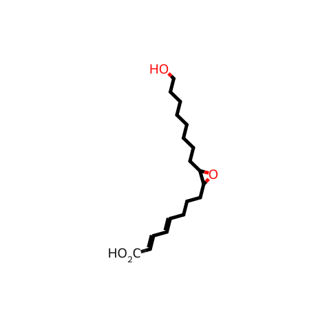 O=C(O)C=CC=CCCCC1OC1CCCCCCCCO